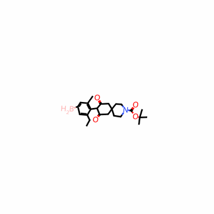 Bc1cc(C)c(C2C(=O)CC3(CCN(C(=O)OC(C)(C)C)CC3)CC2=O)c(CC)c1